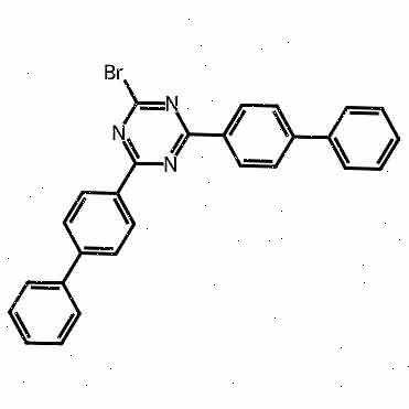 Brc1nc(-c2ccc(-c3ccccc3)cc2)nc(-c2ccc(-c3ccccc3)cc2)n1